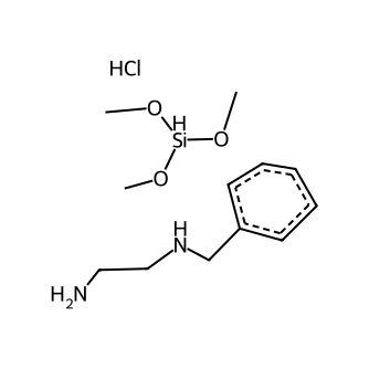 CO[SiH](OC)OC.Cl.NCCNCc1ccccc1